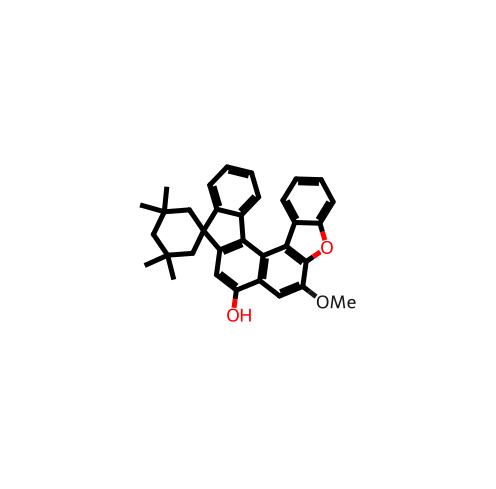 COc1cc2c(O)cc3c(c2c2c1oc1ccccc12)-c1ccccc1C31CC(C)(C)CC(C)(C)C1